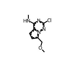 CNc1nc(Cl)nn2c(COC)ccc12